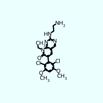 CCn1c(=O)c(-c2c(Cl)c(OC)cc(OC)c2Cl)cc2cnc(NCCN)nc21